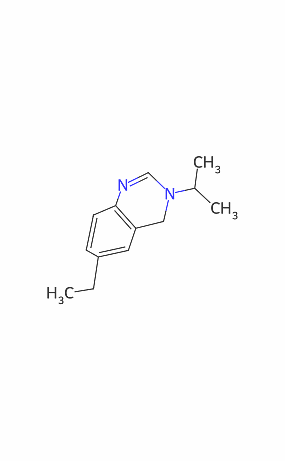 CCc1ccc2c(c1)CN(C(C)C)C=N2